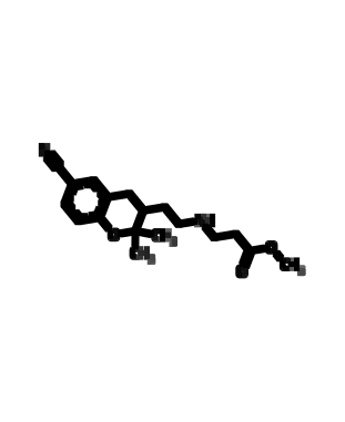 COC(=O)CCNCCC1Cc2cc(C#N)ccc2OC1(C)C